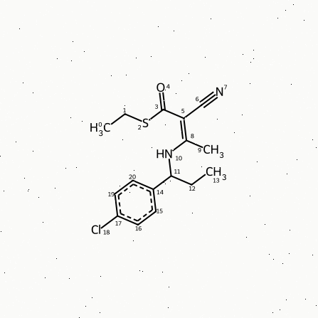 CCSC(=O)C(C#N)=C(C)NC(CC)c1ccc(Cl)cc1